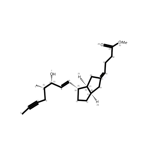 CC#CC[C@H](C)[C@H](O)/C=C/[C@H]1CC[C@@H]2C/C(=C/CCC(=O)OC)C[C@@H]21